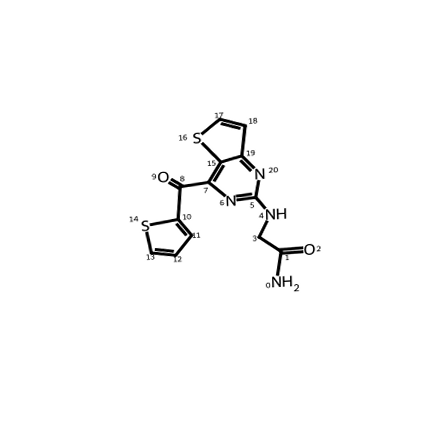 NC(=O)CNc1nc(C(=O)c2cccs2)c2sccc2n1